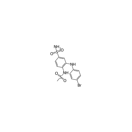 CS(=O)(=O)Nc1ccc(S(N)(=O)=O)cc1Nc1ccc(Br)cc1